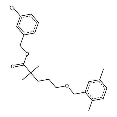 Cc1ccc(C)c(COCCCC(C)(C)C(=O)OCc2cccc(Cl)c2)c1